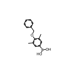 Cc1cc(B(O)O)cc(C)c1OCc1ccccc1